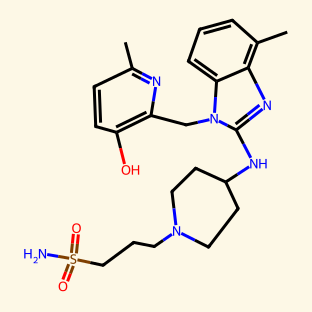 Cc1ccc(O)c(Cn2c(NC3CCN(CCCS(N)(=O)=O)CC3)nc3c(C)cccc32)n1